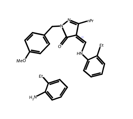 CCCC1=NN(Cc2ccc(OC)cc2)C(=O)/C1=C\Nc1ccccc1CC.CCc1ccccc1N